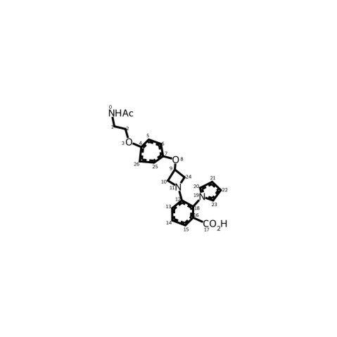 CC(=O)NCCOc1ccc(OC2CN(c3cccc(C(=O)O)c3-n3cccc3)C2)cc1